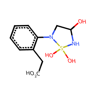 O=C(O)Cc1ccccc1N1CC(O)NS1(O)O